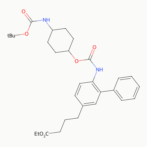 CCOC(=O)CCCc1ccc(NC(=O)OC2CCC(NC(=O)OC(C)(C)C)CC2)c(-c2ccccc2)c1